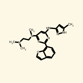 Cc1cc(Nc2cc(N(C)CCN(C)C)nc(-c3cccc4ccoc34)n2)n[nH]1